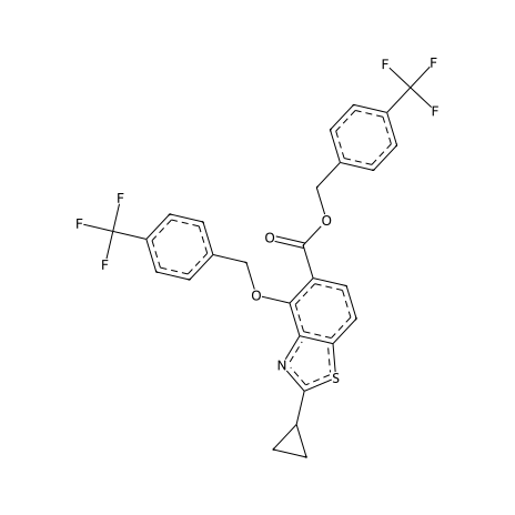 O=C(OCc1ccc(C(F)(F)F)cc1)c1ccc2sc(C3CC3)nc2c1OCc1ccc(C(F)(F)F)cc1